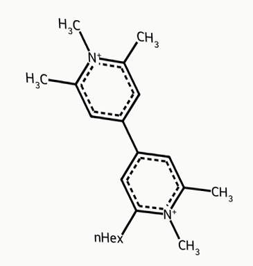 CCCCCCc1cc(-c2cc(C)[n+](C)c(C)c2)cc(C)[n+]1C